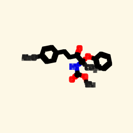 COc1ccc(CCC(=O)C(NC(=O)OC(C)(C)C)(Oc2ccccc2)C(=O)O)cc1